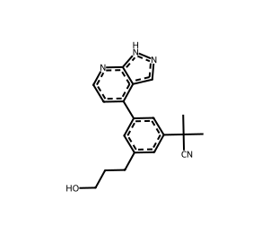 CC(C)(C#N)c1cc(CCCO)cc(-c2ccnc3[nH]ncc23)c1